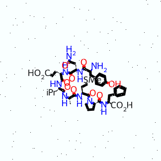 CSCC[C@H](NC(=O)[C@H](C)NC(=O)[C@@H](NC(=O)[C@H](CCC(=O)O)NC(=O)[C@H](CC(N)=O)NC(=O)[C@@H](N)Cc1ccc(O)cc1)C(C)C)C(=O)N1CCC[C@H]1C(=O)N[C@@H](Cc1ccccc1)C(=O)O